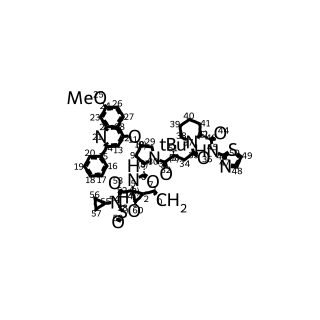 C=CC1C[C@]1(NC(=O)[C@@H]1C[C@@H](Oc2cc(-c3ccccc3)nc3cc(OC)ccc23)CN1C(=O)[C@@H](CC(=O)N1CCCC[C@H]1C(=O)Nc1nccs1)C(C)(C)C)C(=O)N(C1CC1)[SH](=O)=O